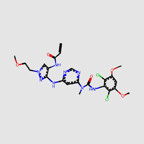 C=CC(=O)Nc1cn(CCOC)nc1Nc1cc(N(C)C(=O)Nc2c(Cl)c(OC)cc(OC)c2Cl)ncn1